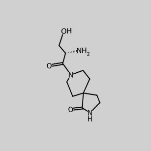 N[C@@H](CO)C(=O)N1CCC2(CCNC2=O)CC1